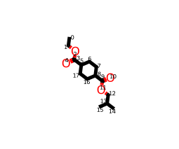 CCOC(=O)C1CCC(C(=O)OCC(C)C)CC1